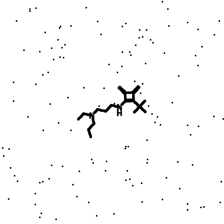 C=C1C(=C)C(C(C)(C)C)=C1NCCCN(CC)CCC